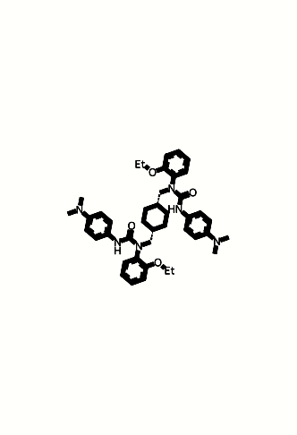 CCOc1ccccc1N(C[C@H]1CC[C@@H](CN(C(=O)Nc2ccc(N(C)C)cc2)c2ccccc2OCC)CC1)C(=O)Nc1ccc(N(C)C)cc1